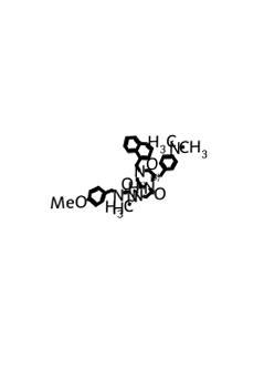 COc1ccc(CNC(=O)N(C)N2CC(=O)N3[C@@H](Cc4ccc(N(C)C)cc4)C(=O)N(Cc4cccc5ccccc45)C[C@@H]32)cc1